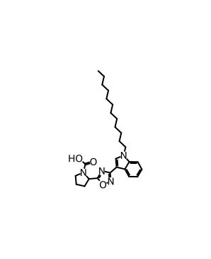 CCCCCCCCCCCCn1cc(-c2noc(C3CCCN3C(=O)O)n2)c2ccccc21